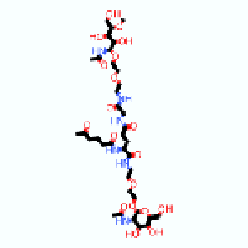 COC(CO)C(O)C(O)C(NC(C)=O)OCCOCCNC(=O)CNC(=O)CCC(NC(=O)CCCC(C)=O)C(=O)NCCOCCOC1OC(CO)C(O)C(O)C1NC(C)=O